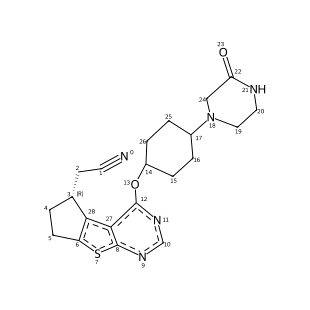 N#CC[C@H]1CCc2sc3ncnc(OC4CCC(N5CCNC(=O)C5)CC4)c3c21